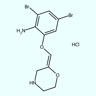 Cl.Nc1c(Br)cc(Br)cc1OC=C1CNCCO1